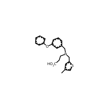 Cc1csc(CN(CCC(=O)O)Cc2cccc(Oc3ccccc3)c2)c1